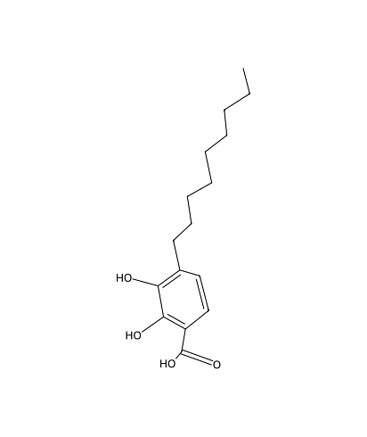 CCCCCCCCCc1ccc(C(=O)O)c(O)c1O